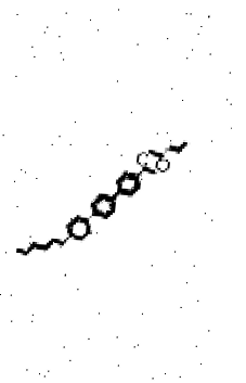 CCCCCC[C@H]1CC[C@H](c2ccc(-c3ccc([C@@H]4CO[C@@H](CCC)CO4)cc3)cc2)CC1